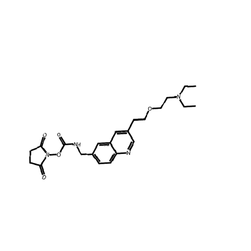 CCN(CC)CCOCCc1cnc2ccc(CNC(=O)ON3C(=O)CCC3=O)cc2c1